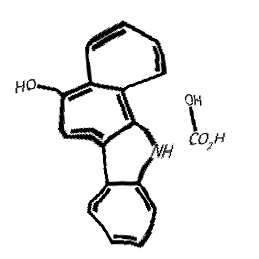 O=C(O)O.Oc1cc2c3ccccc3[nH]c2c2ccccc12